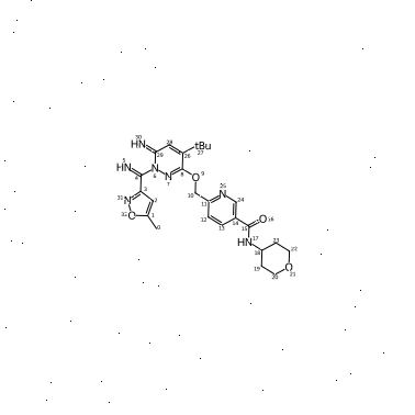 Cc1cc(C(=N)n2nc(OCc3ccc(C(=O)NC4CCOCC4)cn3)c(C(C)(C)C)cc2=N)no1